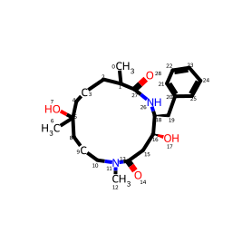 CC1CCCC(C)(O)CCCN(C)C(=O)C[C@H](O)[C@H](Cc2ccccc2)NC1=O